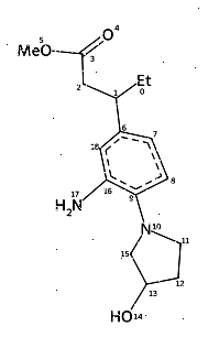 CCC(CC(=O)OC)c1ccc(N2CCC(O)C2)c(N)c1